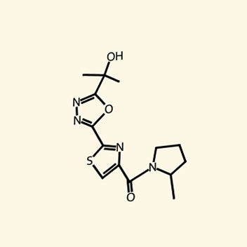 CC1CCCN1C(=O)c1csc(-c2nnc(C(C)(C)O)o2)n1